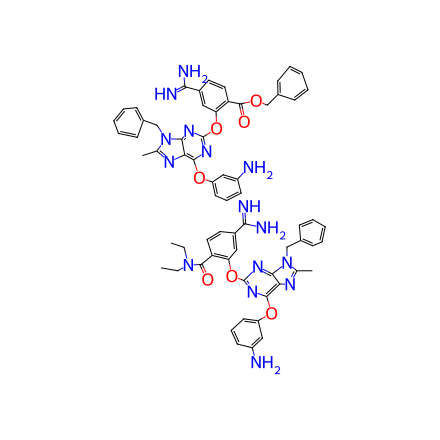 CCN(CC)C(=O)c1ccc(C(=N)N)cc1Oc1nc(Oc2cccc(N)c2)c2nc(C)n(Cc3ccccc3)c2n1.Cc1nc2c(Oc3cccc(N)c3)nc(Oc3cc(C(=N)N)ccc3C(=O)OCc3ccccc3)nc2n1Cc1ccccc1